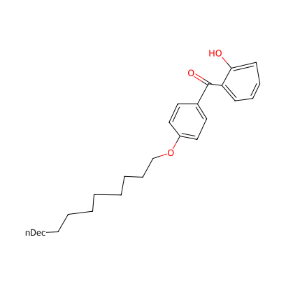 CCCCCCCCCCCCCCCCCCOc1ccc(C(=O)c2ccccc2O)cc1